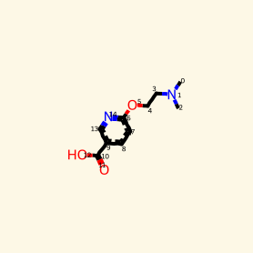 CN(C)CCOc1[c]cc(C(=O)O)cn1